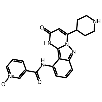 O=C(Nc1cccc2nn3c(C4CCNCC4)cc(=O)[nH]c3c12)c1ccc[n+]([O-])c1